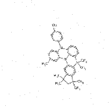 Cc1ccc2c(c1)B1c3cc4c(cc3C(C)(C)c3cccc(c31)N2c1ccc(C(C)(C)C)cc1)C(C)(C)CC4(C)C